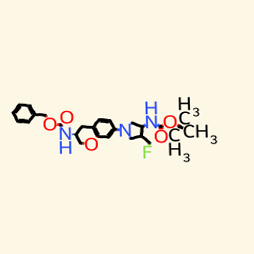 CC(C)(C)OC(=O)NC1CN(c2ccc3c(c2)OC[C@H](NC(=O)OCc2ccccc2)C3)CC1CF